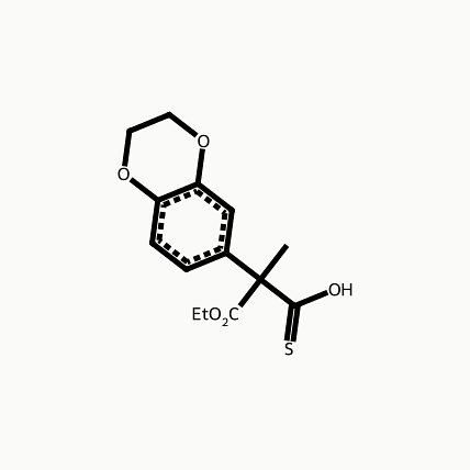 CCOC(=O)C(C)(C(O)=S)c1ccc2c(c1)OCCO2